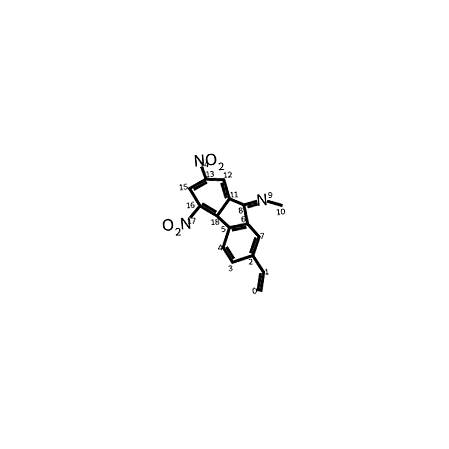 C=Cc1ccc2c(c1)/C(=N\C)c1cc([N+](=O)[O-])cc([N+](=O)[O-])c1-2